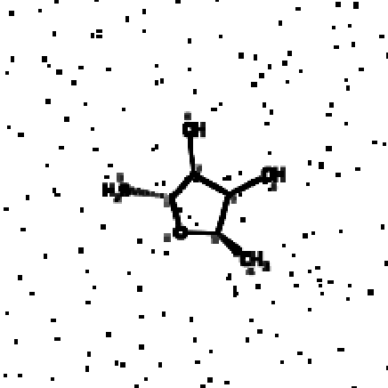 B[C@H]1O[C@H](C)C(O)C1O